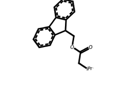 C[C](C)CC(=O)OCC1c2ccccc2-c2ccccc21